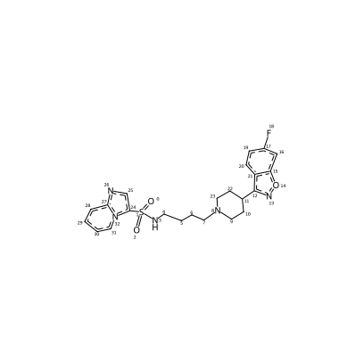 O=S(=O)(NCCCCN1CCC(c2noc3cc(F)ccc23)CC1)c1cnc2ccccn12